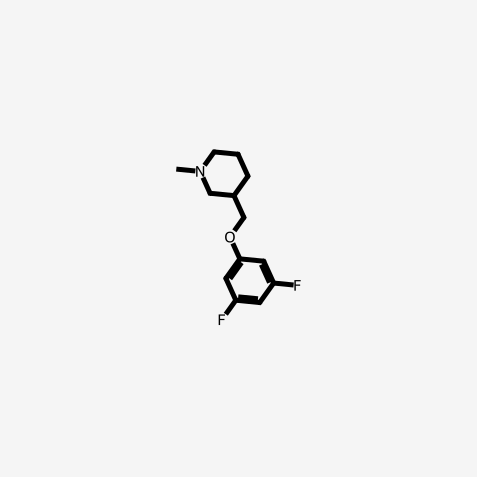 CN1CCCC(COc2cc(F)cc(F)c2)C1